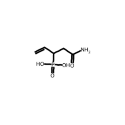 C=CC(CC(N)=O)P(=O)(O)O